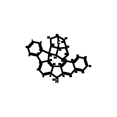 c1ccc2c(c1)-c1ccc3[nH]c4cc5ccccc5cc4c3c1C21C2CC3CC4CC1C2(C3)C4